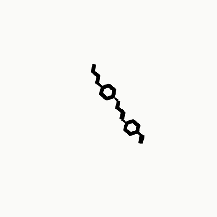 C=C[C@H]1CC[C@H](C=CCC[C@H]2CC[C@H](CCCC)CC2)CC1